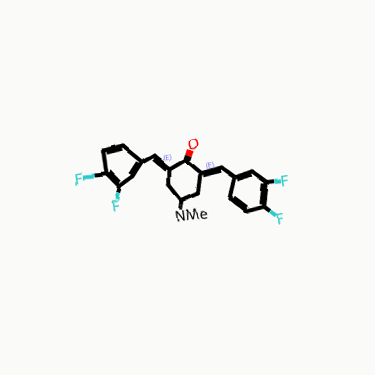 CNC1C/C(=C\c2ccc(F)c(F)c2)C(=O)/C(=C/c2ccc(F)c(F)c2)C1